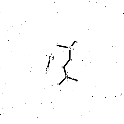 CN(C)CCN(C)C.[Cl][Pd]